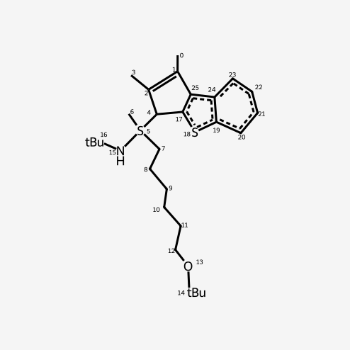 CC1=C(C)C(S(C)(CCCCCCOC(C)(C)C)NC(C)(C)C)c2sc3ccccc3c21